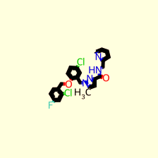 Cc1cc(C(=O)NCc2ccccn2)nn1Cc1cc(Cl)ccc1OCc1ccc(F)cc1Cl